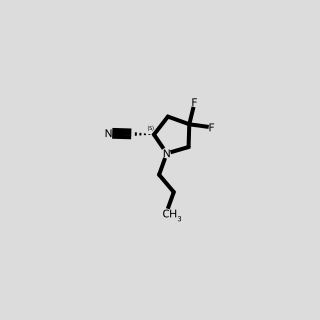 CCCN1CC(F)(F)C[C@H]1C#N